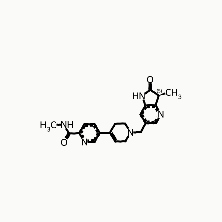 CNC(=O)c1ccc(C2=CCN(Cc3cnc4c(c3)NC(=O)[C@H]4C)CC2)cn1